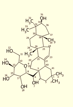 CC1(C)CC[C@]2(C(O)[C@@H]3OC(CO)[C@H](O)C(O)C3O)CCC3C(=CCC4[C@@]3(C)CCC3C(C)(C)[C@@H](O)CC[C@@]34C)C2C1